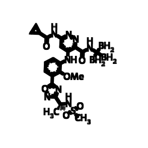 BC(B)(B)NC(=O)c1nnc(NC(=O)C2CC2)cc1Nc1cccc(-c2nc([C@@H](C)NS(C)(=O)=O)no2)c1OC